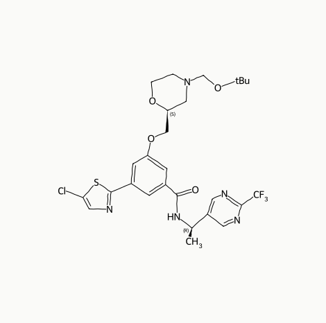 C[C@@H](NC(=O)c1cc(OC[C@@H]2CN(COC(C)(C)C)CCO2)cc(-c2ncc(Cl)s2)c1)c1cnc(C(F)(F)F)nc1